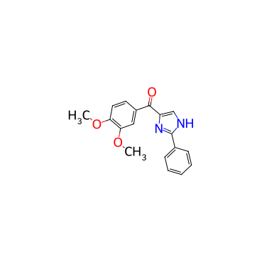 COc1ccc(C(=O)c2c[nH]c(-c3ccccc3)n2)cc1OC